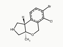 C[C@]12CNC[C@@H]1c1ccc(Br)c(Cl)c1CO2